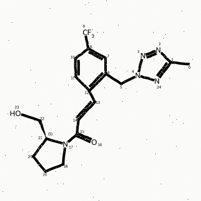 Cc1nnn(Cc2cc(C(F)(F)F)ccc2C=CC(=O)N2CCC[C@H]2CO)n1